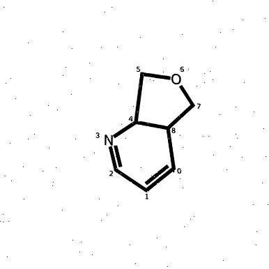 [C]1=CC=NC2COCC12